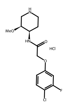 CO[C@H]1CNCC[C@H]1NC(=O)COc1ccc(Cl)c(F)c1.Cl